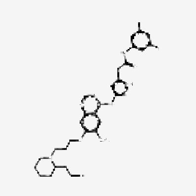 COc1cc2c(Nc3cc(CC(=O)Nc4cc(F)cc(F)c4)[nH]n3)ncnc2cc1OCCCN1CCCCC1CCO